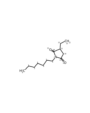 CCCCCCCN1C(=O)CC(CC)C1=O